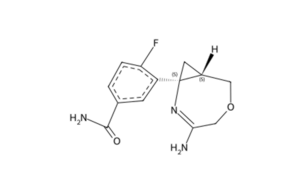 NC(=O)c1ccc(F)c([C@]23C[C@@H]2COCC(N)=N3)c1